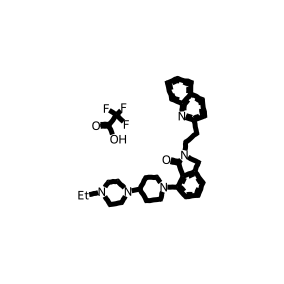 CCN1CCN(C2CCN(c3cccc4c3C(=O)N(CCc3ccc5ccccc5n3)C4)CC2)CC1.O=C(O)C(F)(F)F